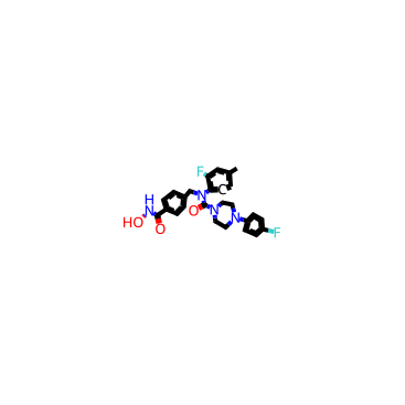 Cc1ccc(N(Cc2ccc(C(=O)NO)cc2)C(=O)N2CCN(c3ccc(F)cc3)CC2)c(F)c1